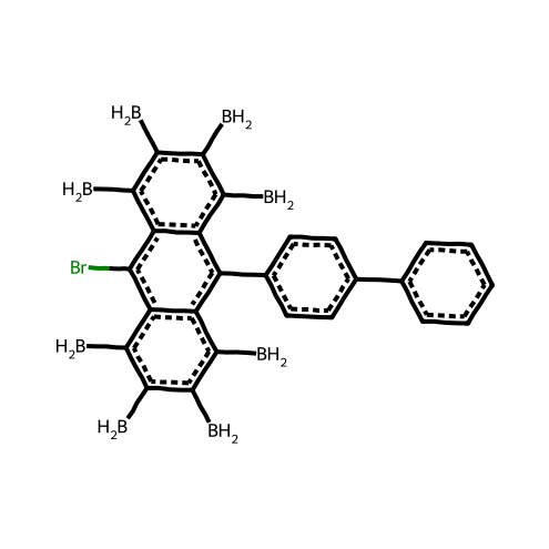 Bc1c(B)c(B)c2c(-c3ccc(-c4ccccc4)cc3)c3c(B)c(B)c(B)c(B)c3c(Br)c2c1B